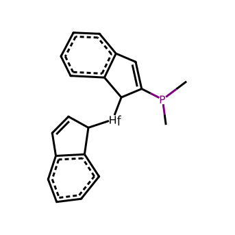 CP(C)C1=Cc2ccccc2[CH]1[Hf][CH]1C=Cc2ccccc21